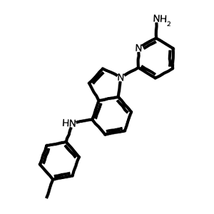 Cc1ccc(Nc2cccc3c2ccn3-c2cccc(N)n2)cc1